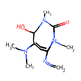 C=NC1=C(N(C)C)C(O)N(C)C(=O)N1C